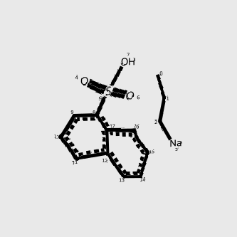 CC[CH2][Na].O=S(=O)(O)c1cccc2ccccc12